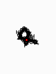 Cc1ccc(NC(=O)N[C@@H](Cc2cc(F)cc(F)c2)C(=O)N[C@@H]2C(=O)N3CCCC3C(=O)N3CCOCC3C(=O)N[C@@H](C)C(=O)N3C[C@H](C)CC3C(=O)O[C@H]2C)cc1